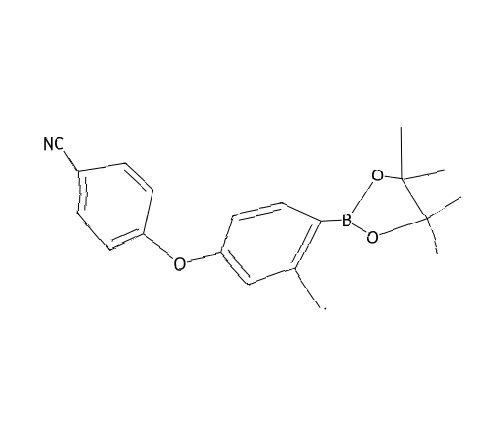 [CH2]c1cc(Oc2ccc(C#N)cc2)ccc1B1OC(C)(C)C(C)(C)O1